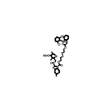 COc1c(C)cnc(C[S+]([O-])c2nc3cc(C)ccc3n2C(=O)OCCSSCCOC(=O)Cc2ccccc2Nc2c(Cl)cccc2Cl)c1C